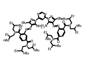 CCCCC(CC)CN(CC(CC)CCCC)C(=O)c1ccc(C(=O)N(CC(CC)CCCC)CC(CC)CCCC)c(/N=N/c2c(C(C)(C)C)nn(-c3cc(-n4nc(C(C)(C)C)c(/N=N/c5cc(C(=O)N(CC(CC)CCCC)CC(CC)CCCC)ccc5C(=O)N(CC(CC)CCCC)CC(CC)CCCC)c4N)ncn3)c2N)c1